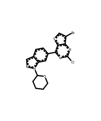 Clc1nc(-c2ccc3cnn(C4CCCCO4)c3c2)c2scc(Br)c2n1